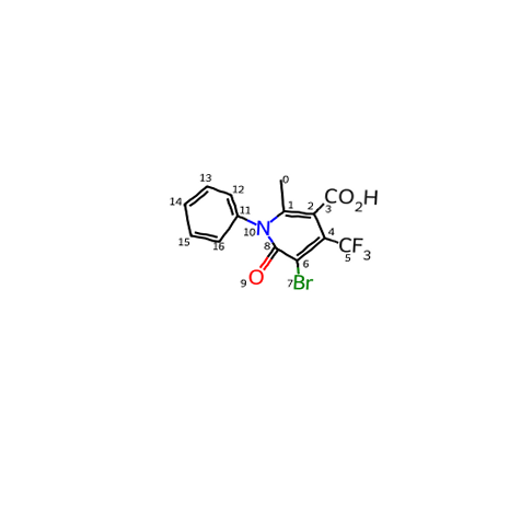 Cc1c(C(=O)O)c(C(F)(F)F)c(Br)c(=O)n1-c1ccccc1